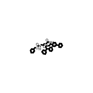 NC(=O)[C@@H](CCCNC(=O)OCc1ccccc1)N(CCc1ccc(-c2ccccc2)cc1)C(=O)C(c1ccccc1)c1ccccc1